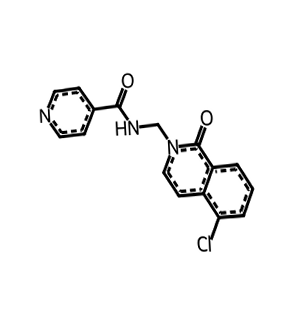 O=C(NCn1ccc2c(Cl)cccc2c1=O)c1ccncc1